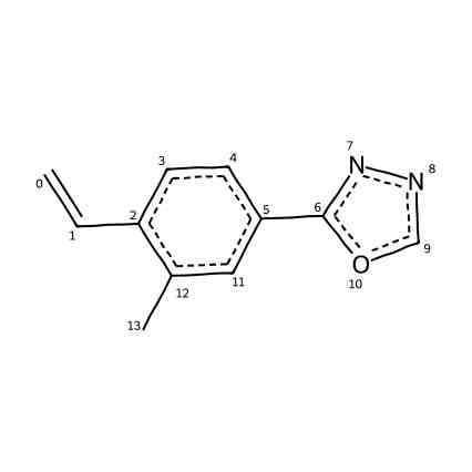 C=Cc1ccc(-c2nnco2)cc1C